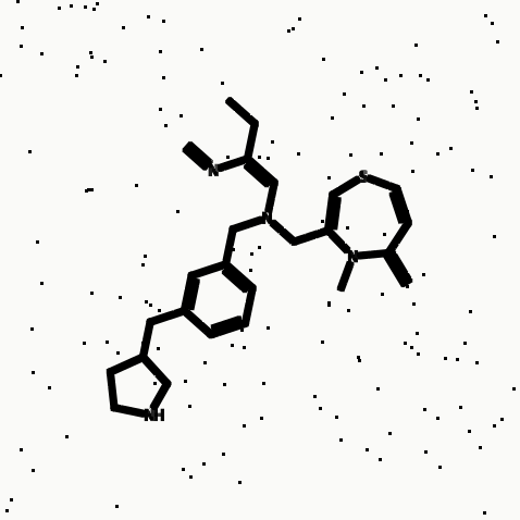 C=N/C(=C\N(CC1=CSC=CC(=C)N1C)Cc1cccc(CC2CCNC2)c1)CC